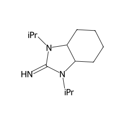 CC(C)N1C(=N)N(C(C)C)C2CCCCC21